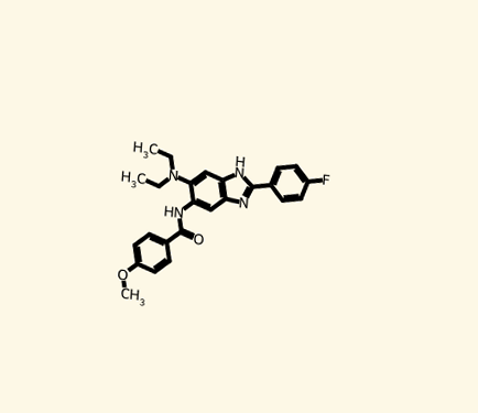 CCN(CC)c1cc2[nH]c(-c3ccc(F)cc3)nc2cc1NC(=O)c1ccc(OC)cc1